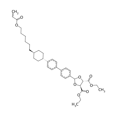 C=CC(=O)OCCCCCC[C@H]1CC[C@H](c2ccc(-c3ccc(C4O[C@H](C(=O)OCC)[C@@H](C(=O)OCC)O4)cc3)cc2)CC1